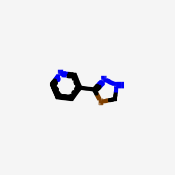 c1cncc(C2=NNCS2)c1